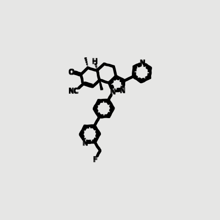 C[C@H]1C(=O)C(C#N)=C[C@@]2(C)c3c(c(-c4cccnc4)nn3-c3ccc(-c4ccnc(CF)c4)cc3)CC[C@H]12